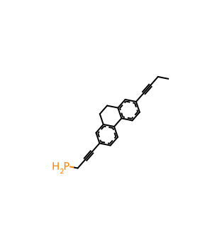 CCC#Cc1ccc2c(c1)CCc1cc(C#CCP)ccc1-2